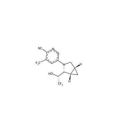 N#Cc1ncc(N2C[C@@H]3C[C@@H]3[C@@H]2[C@@H](O)C(F)(F)F)cc1C(F)(F)F